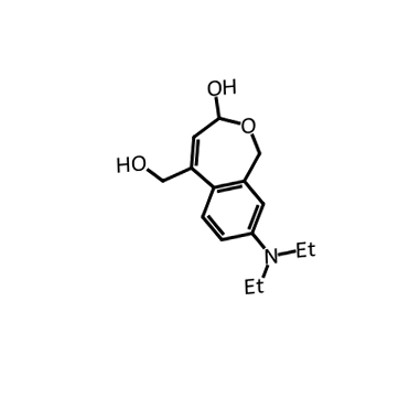 CCN(CC)c1ccc2c(c1)COC(O)C=C2CO